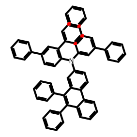 c1ccc(-c2cc(-c3ccccc3)cc(N(c3ccc4c(c3)c(-c3ccccc3)c(-c3ccccc3)c3ccccc34)c3ccc(-c4ccccc4)cc3-c3ccccc3)c2)cc1